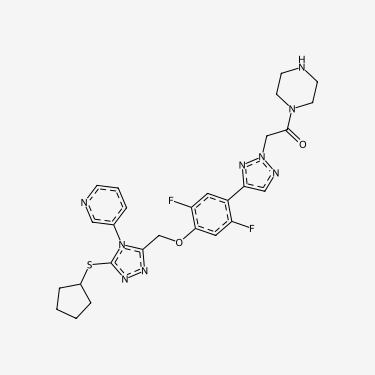 O=C(Cn1ncc(-c2cc(F)c(OCc3nnc(SC4CCCC4)n3-c3cccnc3)cc2F)n1)N1CCNCC1